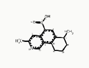 Cc1cc2c(S(=O)O)cc3c(c2cn1)CCCC3C